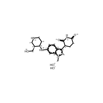 Cl.Cl.Cn1nc(C2CCC(=O)NC2=O)c2ccc(N[C@@H]3CCNC[C@@H]3CO)cc21